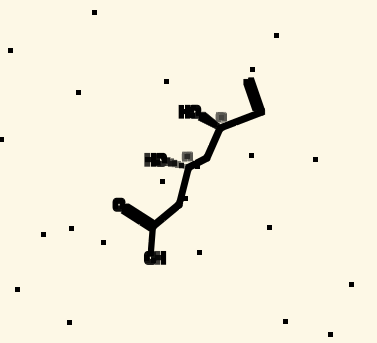 C=C[C@H](O)C[C@@H](O)CC(=O)O